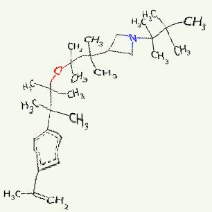 C=C(C)c1ccc(C(C)(C)C(C)(C)OC(C)(C)C(C)(C)C2CN(C(C)(C)C(C)(C)C)C2)cc1